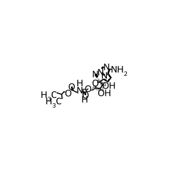 CCC(CC)COC(=O)CN[PH](=O)OC[C@H]1O[C@@](C#N)(c2ccc3c(N)ncnn23)[C@H](O)[C@@H]1O